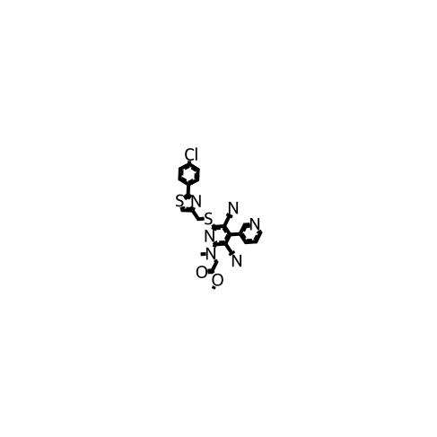 COC(=O)CN(C)c1nc(SCc2csc(-c3ccc(Cl)cc3)n2)c(C#N)c(-c2cccnc2)c1C#N